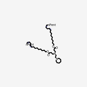 CCCCC/C=C\C/C=C\CCCCCCCCOC(=O)CCN(CCC(=O)OCCCCCCCC/C=C\C/C=C\CCCCC)CCN1CCCCCC1